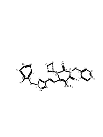 O=c1c([N+](=O)[O-])c(/C=C/c2cnn(Cc3ccccc3F)c2)n(C2CCC2)c(=O)n1Cc1ccncc1